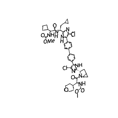 COC(=O)N[C@H](C(=O)N[C@@H](CC1CC1)c1nc(Cl)c(-c2ccc(-c3ccc(-c4[nH]c([C@@H]5CC6CC6N5C(=O)[C@@H](NC(=O)OI)C5CCOCC5)nc4Cl)cc3)cc2)[nH]1)C1CCC1